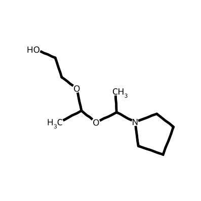 CC(OCCO)OC(C)N1CCCC1